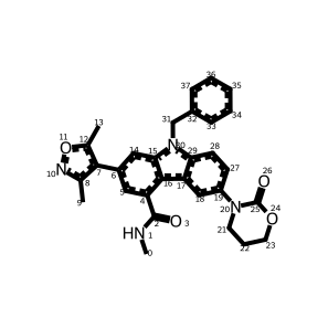 CNC(=O)c1cc(-c2c(C)noc2C)cc2c1c1cc(N3CCCOC3=O)ccc1n2Cc1ccccc1